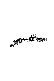 Cc1cc(OCCCC2CCN(c3nc(C(C)C)no3)CC2)cc(C)c1C(=O)NCC(O)CO